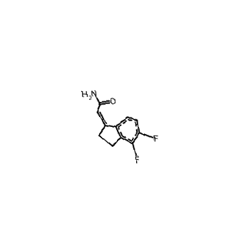 NC(=O)/C=C1/CCc2c1ccc(F)c2F